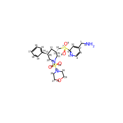 NCc1ccnc(S(=O)(=O)C[C@H]2C[C@H](c3ccccc3)CN(S(=O)(=O)N3CCOCC3)C2)c1